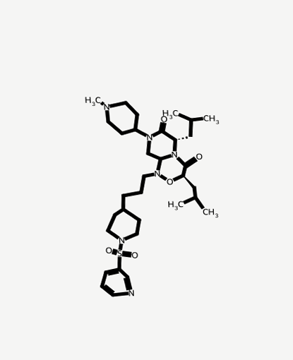 CC(C)C[C@H]1ON(CCCC2CCN(S(=O)(=O)c3cccnc3)CC2)C2CN(C3CCN(C)CC3)C(=O)[C@H](CC(C)C)N2C1=O